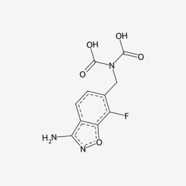 Nc1noc2c(F)c(CN(C(=O)O)C(=O)O)ccc12